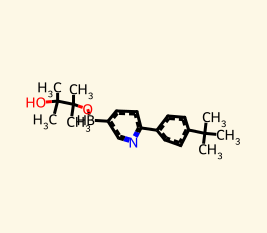 CC(C)(C)c1ccc(-c2ccc(BOC(C)(C)C(C)(C)O)cn2)cc1